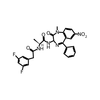 C[C@H](NC(=O)Cc1cc(F)cc(F)c1)C(=O)NC1N=C(c2ccccc2)c2cc([N+](=O)[O-])ccc2N(C)C1=O